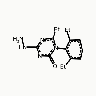 CCc1cccc(CC)c1-n1c(CC)nc(NN)nc1=O